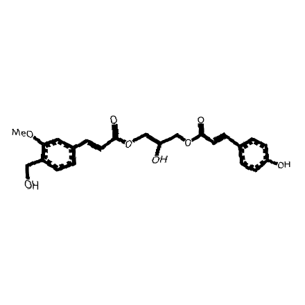 COc1cc(/C=C/C(=O)OCC(O)COC(=O)/C=C/c2ccc(O)cc2)ccc1CO